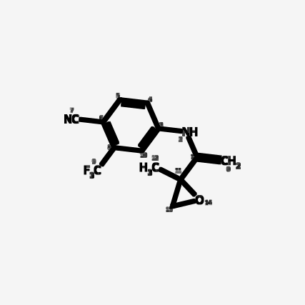 C=C(Nc1ccc(C#N)c(C(F)(F)F)c1)C1(C)CO1